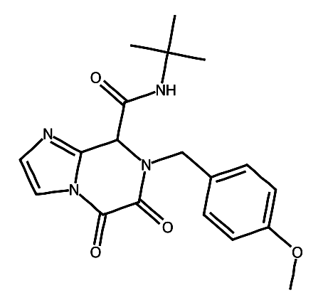 COc1ccc(CN2C(=O)C(=O)n3ccnc3C2C(=O)NC(C)(C)C)cc1